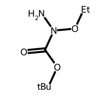 CCON(N)C(=O)OC(C)(C)C